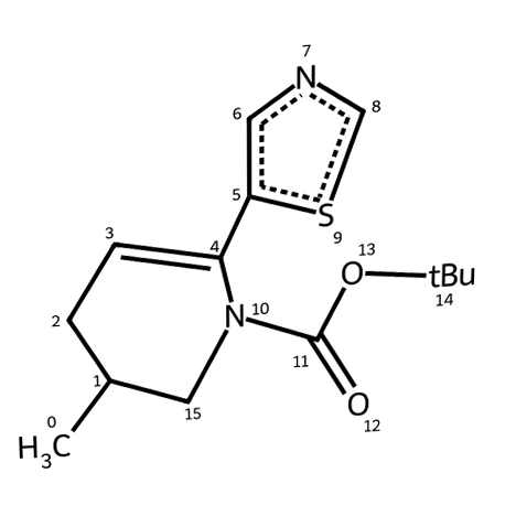 CC1CC=C(c2cncs2)N(C(=O)OC(C)(C)C)C1